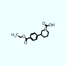 CCOC(=O)c1ccc(C2CCCN(C(=O)O)C2)cc1